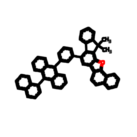 CC1(C)c2ccccc2-c2c(-c3cccc(-c4c5ccccc5c(-c5cccc6ccccc56)c5ccccc45)c3)cc3c(oc4c5ccccc5ccc34)c21